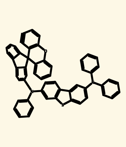 c1ccc2c(c#1)C1(c3ccccc3O2)c2ccccc2-c2ccc(N(c3ccccc3)c3ccc4c(c3)sc3ccc(N(c5ccccc5)c5ccccc5)cc34)cc21